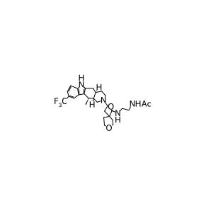 CC(=O)NCCNC(=O)C1(CCN2CC[C@@H]3Cc4[nH]c5ccc(C(F)(F)F)cc5c4[C@H](C)[C@H]3C2)CCOCC1